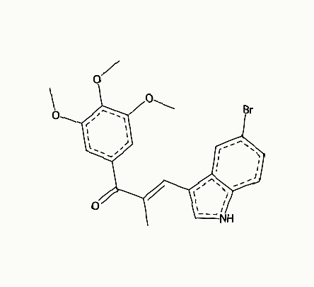 COc1cc(C(=O)/C(C)=C/c2c[nH]c3ccc(Br)cc23)cc(OC)c1OC